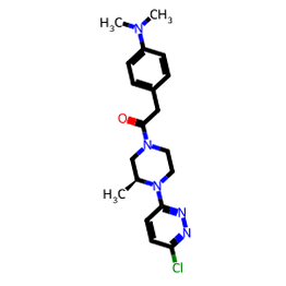 C[C@H]1CN(C(=O)Cc2ccc(N(C)C)cc2)CCN1c1ccc(Cl)nn1